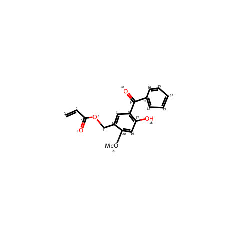 C=CC(=O)OCc1cc(C(=O)c2ccccc2)c(O)cc1OC